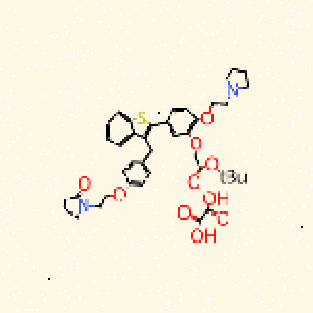 CC(C)(C)OC(=O)COc1cc(-c2sc3ccccc3c2Cc2ccc(OCCN3CCCC3=O)cc2)ccc1OCCN1CCCC1.O=C(O)C(=O)O